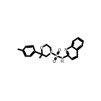 Cc1ccc(C2(C)CN(S(=O)(=O)Nc3ccc4ccccc4n3)CCO2)cc1